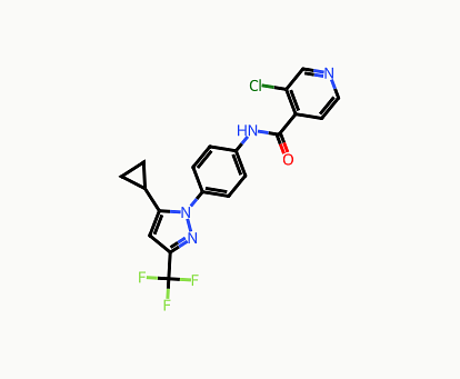 O=C(Nc1ccc(-n2nc(C(F)(F)F)cc2C2CC2)cc1)c1ccncc1Cl